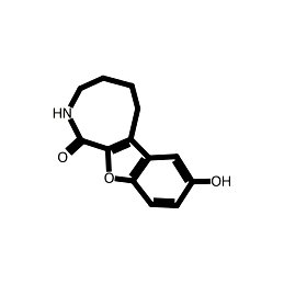 O=C1NCCCCc2c1oc1ccc(O)cc21